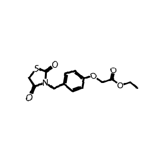 CCOC(=O)COc1ccc(CN2C(=O)CSC2=O)cc1